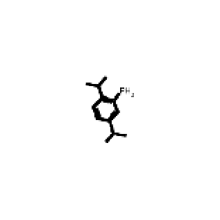 CC(C)c1ccc(C(C)C)c(P)c1